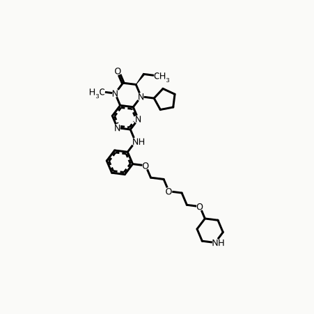 CC[C@@H]1C(=O)N(C)c2cnc(Nc3ccccc3OCCOCCOC3CCNCC3)nc2N1C1CCCC1